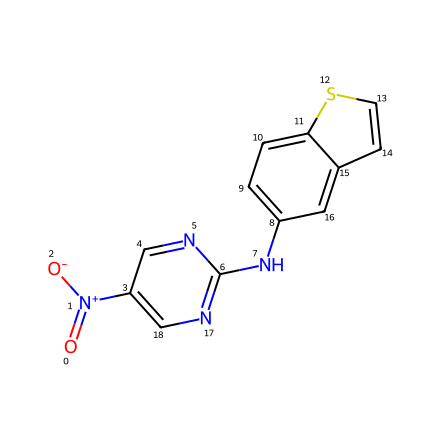 O=[N+]([O-])c1cnc(Nc2ccc3sccc3c2)nc1